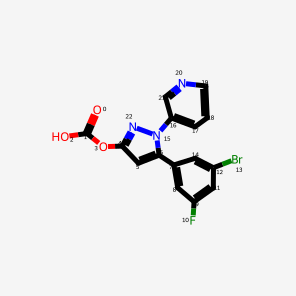 O=C(O)Oc1cc(-c2cc(F)cc(Br)c2)n(-c2cccnc2)n1